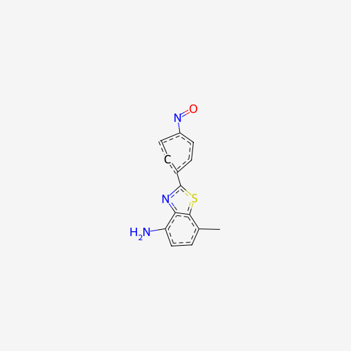 Cc1ccc(N)c2nc(-c3ccc(N=O)cc3)sc12